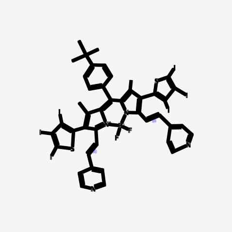 CC1=C(c2sc(I)c(I)c2I)C(/C=C/c2ccncc2)=[N+]2C1=C(c1ccc(C(C)(C)C)cc1)c1c(C)c(-c3sc(I)c(I)c3I)c(/C=C/c3ccncc3)n1[B-]2(F)F